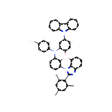 Cc1cc(C)c(-c2nc3cccc4c3n2-c2cccc3c2B4c2ccc(-n4c5ccccc5c5ccccc54)cc2N3c2ccc(C(C)(C)C)cc2)c(C)c1